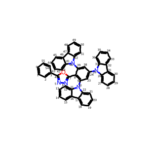 c1ccc(-c2nnc(-c3c(-n4c5ccccc5c5ccccc54)cc(-n4c5ccccc5c5ccccc54)cc3-n3c4ccccc4c4ccccc43)o2)cc1